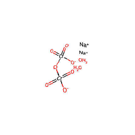 O.O.[Na+].[Na+].[O]=[Cr](=[O])([O-])[O][Cr](=[O])(=[O])[O-]